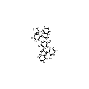 Cc1cc(-c2nc3ccccc3n2-c2ccccc2C=N)c(C)cc1-c1nc2ccccc2n1-c1ccccc1C